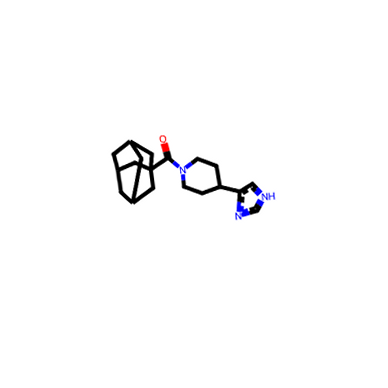 O=C(N1CCC(c2c[nH]cn2)CC1)C12CC3CC(CC(C3)C1)C2